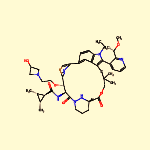 CCn1c(-c2cccnc2[C@H](C)OC)c2c3cc(ccc31)-c1csc(n1)[C@@H](OCCN1CC(O)C1)[C@H](NC(=O)[C@H]1[C@H](C)[C@@H]1C)C(=O)N1CCC[C@H](N1)C(=O)OCC(C)(C)C2